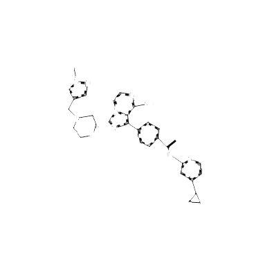 Cn1cc(CN2CCO[C@@H](c3nc(-c4ccc(C(=O)Nc5cc(C6CC6)ccn5)cc4)c4c(N)nccn34)C2)cn1